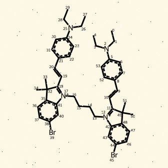 CCN(CC)c1ccc(/C=C/C2=[N+](CCCC[N+]3=C(/C=C/c4ccc(N(CC)CC)cc4)C(C)(C)c4ccc(Br)cc43)c3cc(Br)ccc3C2(C)C)cc1